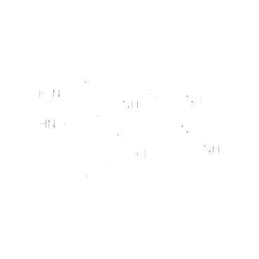 N=Cn1cc(Cl)c(C(=O)Nc2ccc(N)c(C(=N)c3ccccc3)c2)c(Cl)c1=N